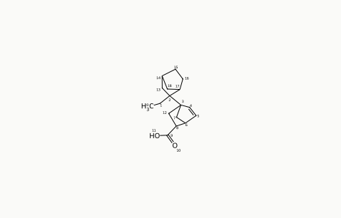 CCC1(C23C=CC(C2)C(C(=O)O)C3)CC2CCC1C2